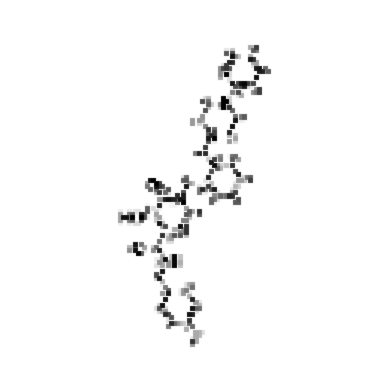 O=C(NCc1ccc(F)cc1)c1ncn(Cc2ccccc2CN2CCN(c3ccccn3)CC2)c(=O)c1O